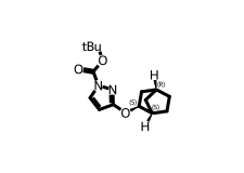 CC(C)(C)OC(=O)n1ccc(O[C@H]2C[C@@H]3CC[C@H]2C3)n1